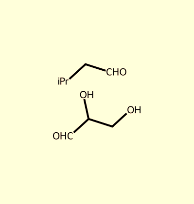 CC(C)CC=O.O=CC(O)CO